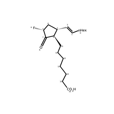 CCCCCCC=C[C@H]1C[C@@H](F)C(=O)[C@@H]1CCCCCCC(=O)O